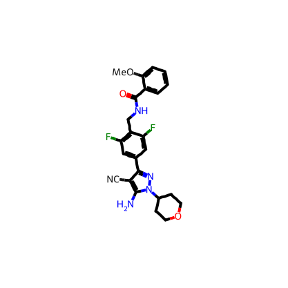 COc1ccccc1C(=O)NCc1c(F)cc(-c2nn(C3CCOCC3)c(N)c2C#N)cc1F